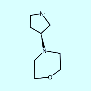 C1C[C@H](N2CCOCC2)C[N]1